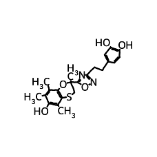 Cc1c(C)c2c(c(C)c1O)SCC(C)(c1nc(CCc3ccc(O)c(O)c3)no1)O2